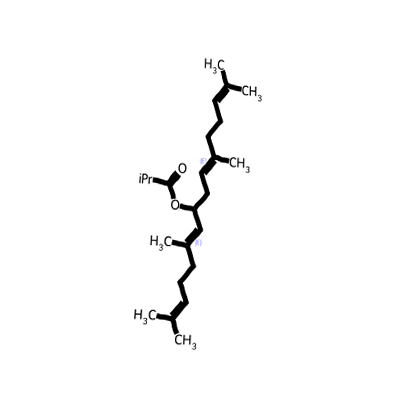 CC(C)=CCC/C(C)=C/CC(/C=C(\C)CCC=C(C)C)OC(=O)C(C)C